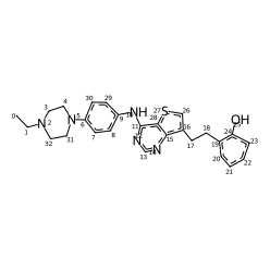 CCN1CCN(c2ccc(Nc3ncnc4c(CCc5ccccc5O)csc34)cc2)CC1